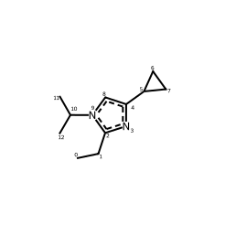 CCc1nc(C2CC2)cn1C(C)C